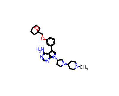 CN1CCC(N2CC[C@@H](n3cc(-c4cccc(OCC56CCC(CC5)O6)c4)c4c(N)ncnc43)C2)CC1